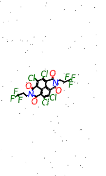 O=C1c2c(Cl)c(Cl)c3c4c(c(Cl)c(Cl)c(c24)C(=O)N1CCC(F)(F)F)C(=O)N(CCC(F)(F)F)C3=O